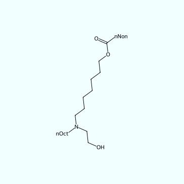 CCCCCCCCCC(=O)OCCCCCCCN(CCO)CCCCCCCC